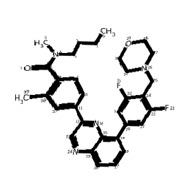 CCCCN(C)C(=O)c1ccc(-c2cnc3cccc(-c4cc(F)c(CN5CCOCC5)c(F)c4)c3n2)cc1C